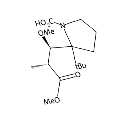 COC(=O)[C@H](C)[C@@H](OC)C1(C(C)(C)C)CCCN1C(=O)O